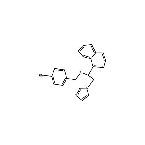 CC(C)(C)c1ccc(COC(Cn2ccnc2)c2cccc3ccccc23)cc1